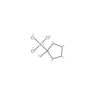 CC1([Si](Cl)(Cl)Cl)CCCC1